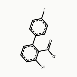 O=[N+]([O-])c1c(S)cccc1-c1ccc(F)cc1